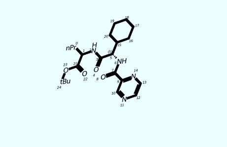 CCCC(NC(=O)[C@@H](NC(=O)c1cnccn1)C1CCCCC1)C(=O)OC(C)(C)C